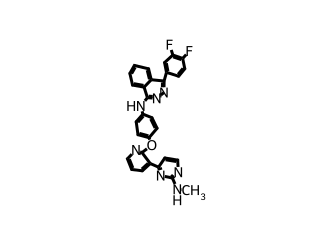 CNc1nccc(-c2cccnc2Oc2ccc(Nc3nnc(-c4ccc(F)c(F)c4)c4ccccc34)cc2)n1